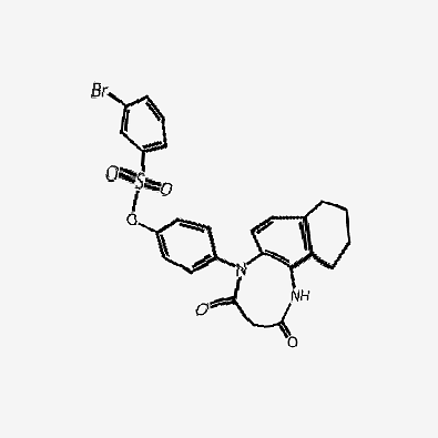 O=C1CC(=O)N(c2ccc(OS(=O)(=O)c3cccc(Br)c3)cc2)c2ccc3c(c2N1)CCCC3